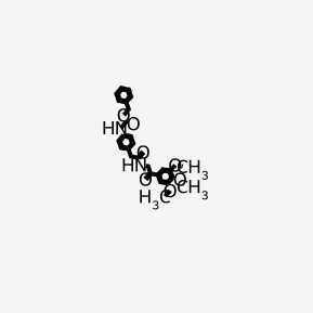 COc1cc(C(=O)CNC(=O)Cc2ccc(NC(=O)OCc3ccccc3)cc2)cc(OC)c1OC